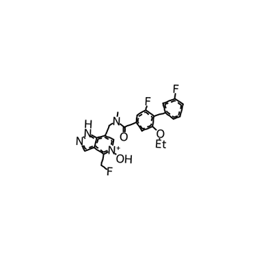 CCOc1cc(C(=O)N(C)Cc2c[n+](O)c(CF)c3cn[nH]c23)cc(F)c1-c1cccc(F)c1